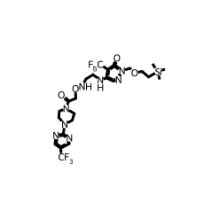 C[C@@H](CNOCC(=O)N1CCN(c2ncc(C(F)(F)F)cn2)CC1)Nc1cnn(COCC[Si](C)(C)C)c(=O)c1C(F)(F)F